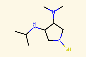 CC(C)NC1CN(S)CC1N(C)C